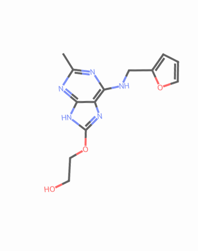 Cc1nc(NCc2ccco2)c2nc(OCCO)[nH]c2n1